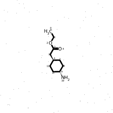 CCOC(=O)C[C@H]1CC[C@H](N)CC1